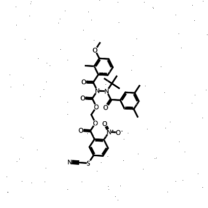 COc1cccc(C(=O)N(C(=O)OCOC(=O)c2cc(SC#N)ccc2[N+](=O)[O-])N(C(=O)c2cc(C)cc(C)c2)C(C)(C)C)c1C